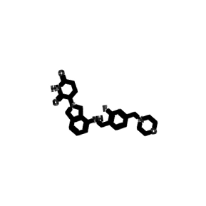 O=C1CCC(N2Cc3cccc(NCc4ccc(CN5CCOCC5)cc4F)c3C2)C(=O)N1